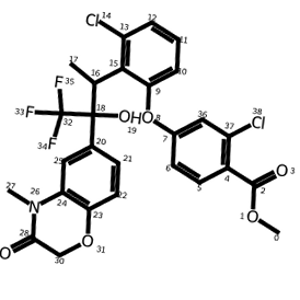 COC(=O)c1ccc(Oc2cccc(Cl)c2C(C)C(O)(c2ccc3c(c2)N(C)C(=O)CO3)C(F)(F)F)cc1Cl